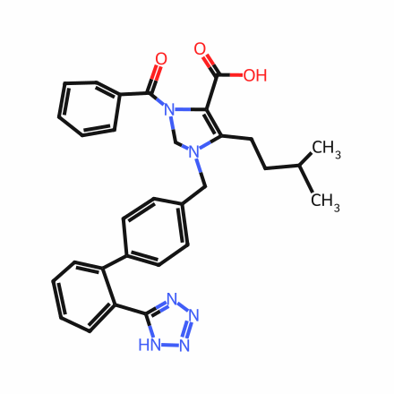 CC(C)CCC1=C(C(=O)O)N(C(=O)c2ccccc2)CN1Cc1ccc(-c2ccccc2-c2nnn[nH]2)cc1